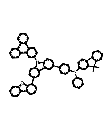 CC1(C)c2ccccc2-c2ccc(N(c3ccccc3)c3ccc(-c4ccc5c(c4)c4cc(-c6cccc7c6oc6ccccc67)ccc4n5-c4ccc5c6ccccc6c6ccccc6c5c4)cc3)cc21